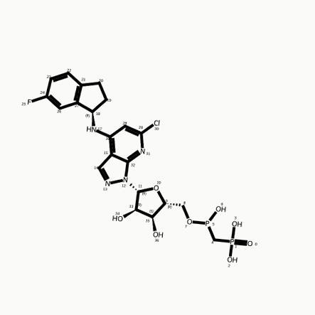 O=P(O)(O)CP(O)OC[C@H]1O[C@@H](n2ncc3c(N[C@@H]4CCc5ccc(F)cc54)cc(Cl)nc32)[C@H](O)[C@@H]1O